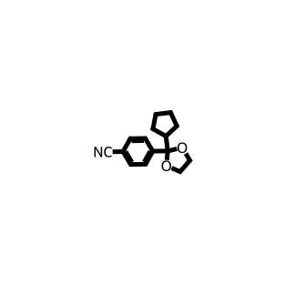 N#Cc1ccc(C2(C3CCCC3)OCCO2)cc1